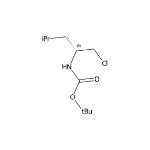 CC(C)C[C@H](CCl)NC(=O)OC(C)(C)C